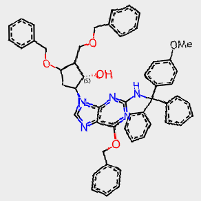 COc1ccc(C(Nc2nc(OCc3ccccc3)c3ncn(C4CC(OCc5ccccc5)C(COCc5ccccc5)[C@@H]4O)c3n2)(c2ccccc2)c2ccccc2)cc1